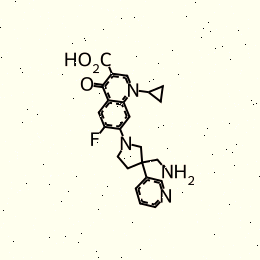 NCC1(c2cccnc2)CCN(c2cc3c(cc2F)c(=O)c(C(=O)O)cn3C2CC2)C1